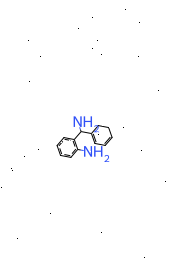 Nc1ccccc1C(N)C1=CC=CCC1